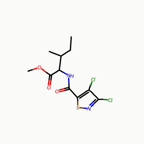 CCC(C)C(NC(=O)c1snc(Cl)c1Cl)C(=O)OC